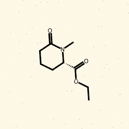 CCOC(=O)[C@@H]1CCCC(=O)N1C